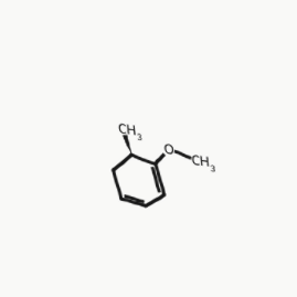 COC1=CC=CC[C@H]1C